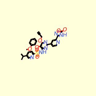 C#CCOc1nc(-c2ccnc(-c3noc(=O)[nH]3)c2)nc(NS(=O)(=O)c2ccc(C(C)C)cn2)c1Oc1ccccc1OC